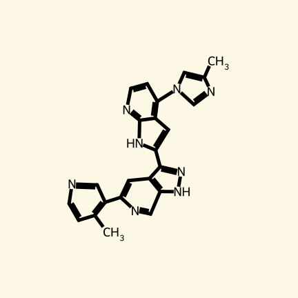 Cc1cn(-c2ccnc3[nH]c(-c4n[nH]c5cnc(-c6cnccc6C)cc45)cc23)cn1